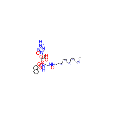 CC/C=C\C/C=C\C/C=C\C/C=C\C/C=C\CCCC(=O)NCCNP(=O)(OC[C@H]1OC(n2cnc(N)nc2=O)C[C@@H]1O)Oc1cccc2ccccc12